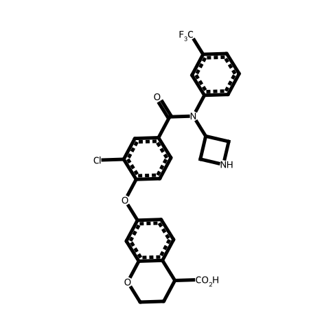 O=C(O)C1CCOc2cc(Oc3ccc(C(=O)N(c4cccc(C(F)(F)F)c4)C4CNC4)cc3Cl)ccc21